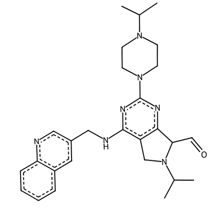 CC(C)N1CCN(c2nc(NCc3cnc4ccccc4c3)c3c(n2)C(C=O)N(C(C)C)C3)CC1